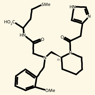 COc1ccccc1CN(CC(=O)NC(CCSC)C(=O)O)C[C@@H]1CCCCN1C(=O)Cc1c[nH]cn1